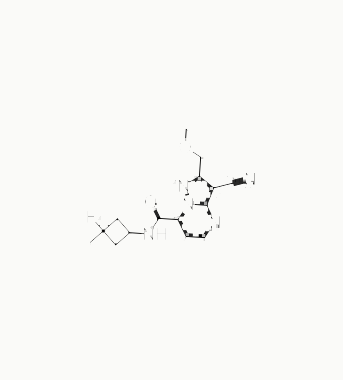 COCc1nn2c(C(=O)NC3CC(C)(F)C3)ccnc2c1C#N